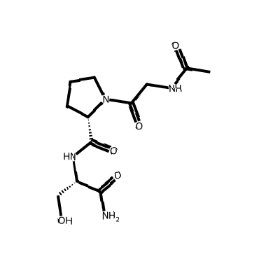 CC(=O)NCC(=O)N1CCC[C@H]1C(=O)N[C@@H](CO)C(N)=O